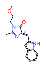 COCCN1C(=O)/C(=C/c2cc3ccccc3[nH]2)N=C1C